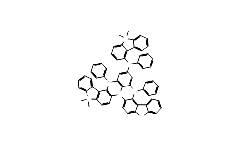 C[Si]1(C)c2ccccc2-c2c(N(c3ccccc3)c3cc4c5c(c3)N(c3ccccc3)c3c(ccc6sc7ccccc7c36)B5c3ccc5c(c3N4c3ccccc3)-c3ccccc3[Si]5(C)C)cccc21